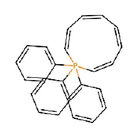 C1=CC=CP(c2ccccc2)(c2ccccc2)(c2ccccc2)C=CC=C1